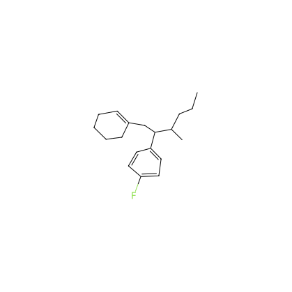 CCCC(C)C(CC1=CCCCC1)c1ccc(F)cc1